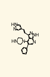 C(=Cc1n[nH]c2ncc(-c3ccccc3)c(N3CCNCC3)c12)c1cn[nH]c1